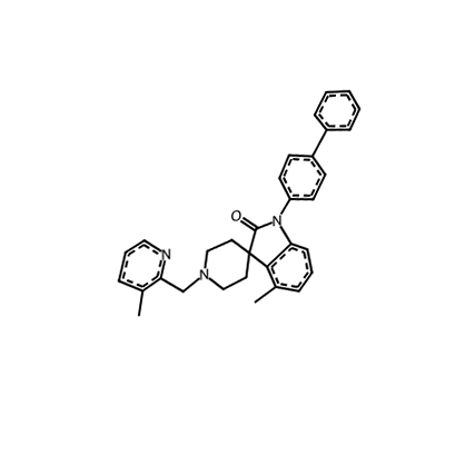 Cc1cccnc1CN1CCC2(CC1)C(=O)N(c1ccc(-c3ccccc3)cc1)c1cccc(C)c12